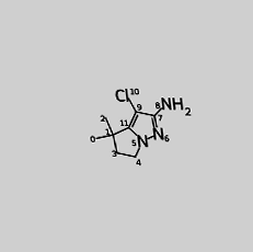 CC1(C)CCn2nc(N)c(Cl)c21